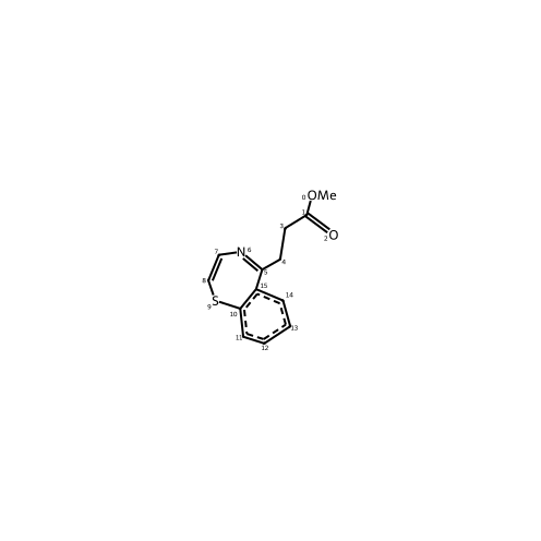 COC(=O)CCC1=NC=CSc2ccccc21